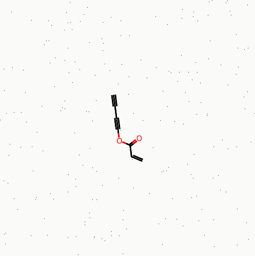 C#CC#COC(=O)C=C